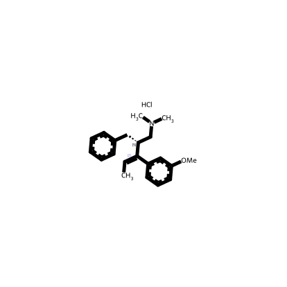 C/C=C(\c1cccc(OC)c1)[C@H](Cc1ccccc1)CN(C)C.Cl